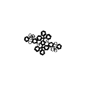 O=S1(=O)c2ccccc2Oc2cc(N3c4ccccc4C(c4ccccc4)(c4ccccc4)c4cc5c(cc43)C(c3ccccc3)(c3ccccc3)c3ccccc3N5c3ccc4c(c3)Oc3ccccc3S4(=O)=O)ccc21